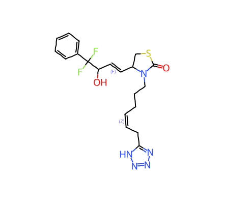 O=C1SCC(/C=C/C(O)C(F)(F)c2ccccc2)N1CCC/C=C\Cc1nnn[nH]1